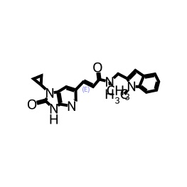 CN(Cc1cc2ccccc2n1C)C(=O)/C=C/c1cnc2[nH]c(=O)n(C3CC3)c2c1